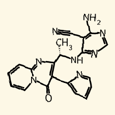 C[C@H](Nc1ncnc(N)c1C#N)c1nc2ccccn2c(=O)c1-c1ccccn1